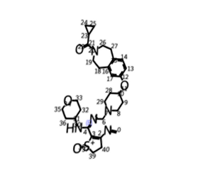 C=NC1=C(/C(=N\CN2CCC(Oc3ccc4c(c3)CCN(C(=O)C3CC3)CC4)CC2)NC2CCOCC2)[S+]([O-])CC1